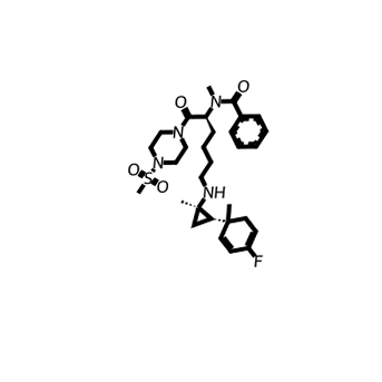 CN(C(=O)c1ccccc1)[C@@H](CCCCN[C@]1(C)C[C@H]1C1(C)C=CC(F)=CC1)C(=O)N1CCN(S(C)(=O)=O)CC1